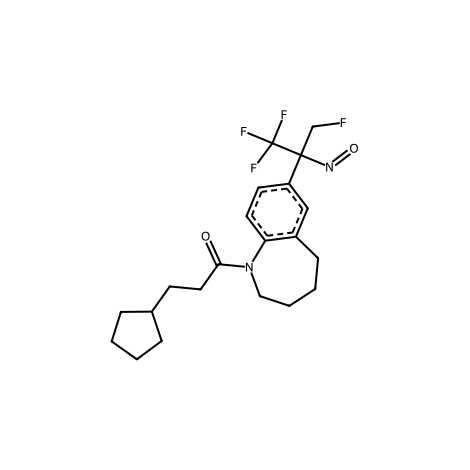 O=NC(CF)(c1ccc2c(c1)CCCCN2C(=O)CCC1CCCC1)C(F)(F)F